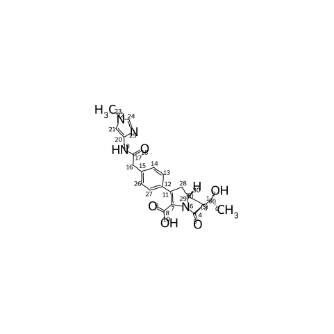 C[C@@H](O)[C@H]1C(=O)N2C(C(=O)O)=C(c3ccc(CC(=O)Nc4cn(C)cn4)cc3)C[C@H]12